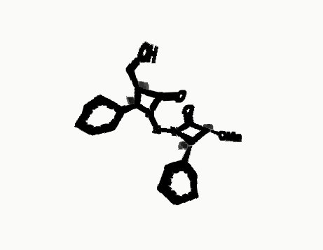 CO[C@H]1C(=O)N(SN2C(=O)[C@H](CO)[C@@H]2c2ccccc2)[C@H]1c1ccccc1